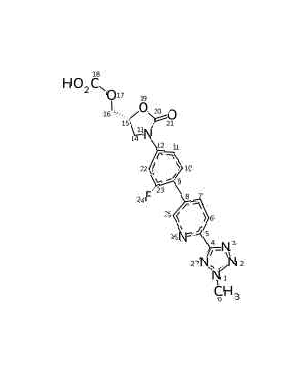 Cn1nnc(-c2ccc(-c3ccc(N4C[C@H](COC(=O)O)OC4=O)cc3F)cn2)n1